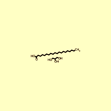 CCCCCCCCCCCCCCCCCCCC(=O)O.OCC(O)CO